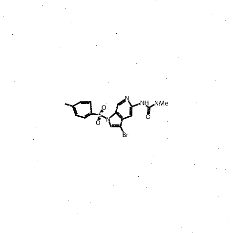 CNC(=O)Nc1cc2c(Br)cn(S(=O)(=O)c3ccc(C)cc3)c2cn1